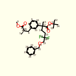 COC(=O)[C@H](C)Cc1cccc(C(C)(CCC(F)(F)COCc2ccccc2)C(=O)OC(C)(C)C)c1